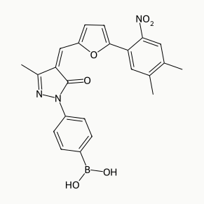 CC1=NN(c2ccc(B(O)O)cc2)C(=O)C1=Cc1ccc(-c2cc(C)c(C)cc2[N+](=O)[O-])o1